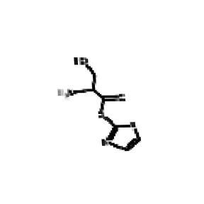 N[C@@H](CO)C(=O)Oc1nccs1